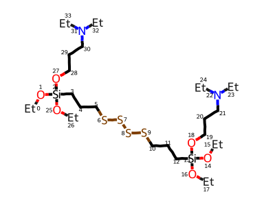 CCO[Si](CCCSSSSCCC[Si](OCC)(OCC)OCCCN(CC)CC)(OCC)OCCCN(CC)CC